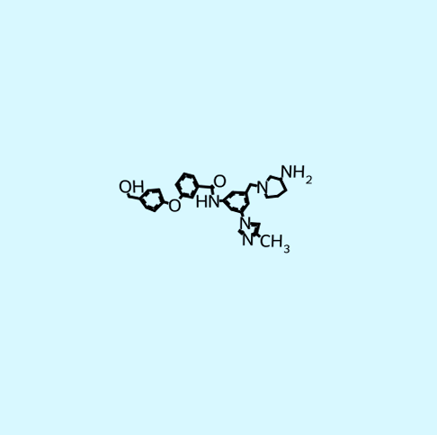 Cc1cn(-c2cc(CN3CCCC(N)C3)cc(NC(=O)c3cccc(Oc4ccc(CO)cc4)c3)c2)cn1